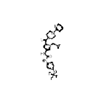 O=C(Nc1ccc(OC(F)(F)F)cc1)Nc1cc(C(=O)N2CCN(c3ccccn3)CC2)n(CC2CC2)c1